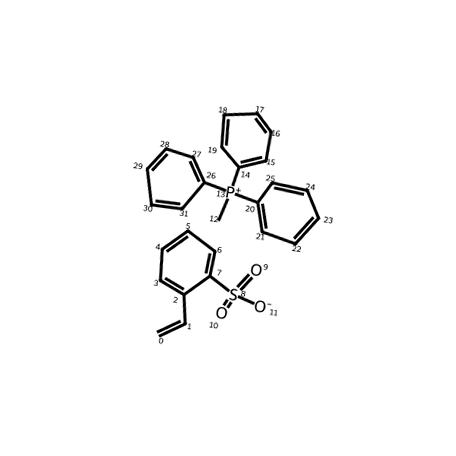 C=Cc1ccccc1S(=O)(=O)[O-].C[P+](c1ccccc1)(c1ccccc1)c1ccccc1